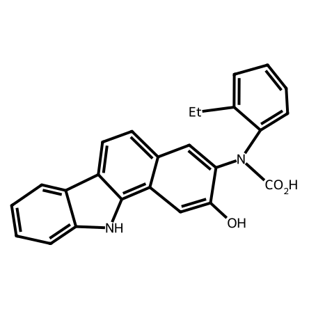 CCc1ccccc1N(C(=O)O)c1cc2ccc3c4ccccc4[nH]c3c2cc1O